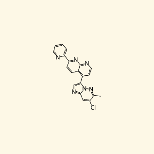 Cc1nn2c(-c3ccnc4nc(-c5ccccn5)ccc34)cnc2cc1Cl